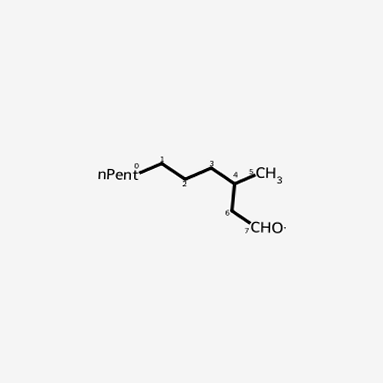 CCCCCCCCC(C)C[C]=O